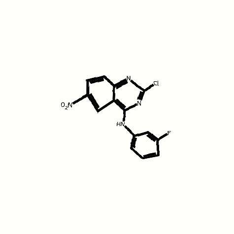 O=[N+]([O-])c1ccc2nc(Cl)nc(Nc3cccc(F)c3)c2c1